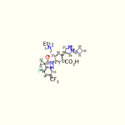 CC[N+](C)(C)C.O=C(O)c1cc(NC(=O)C2(c3ccc(C(F)(F)F)cc3F)CC2)ccc1-c1cnn(C2CCC2)c1